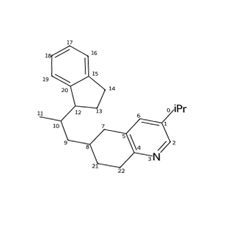 CC(C)c1cnc2c(c1)CC(CC(C)C1CCc3ccccc31)CC2